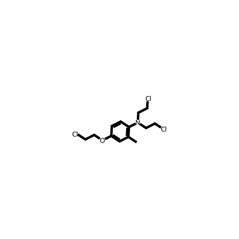 Cc1cc(OCCCl)ccc1N(CCCl)CCCl